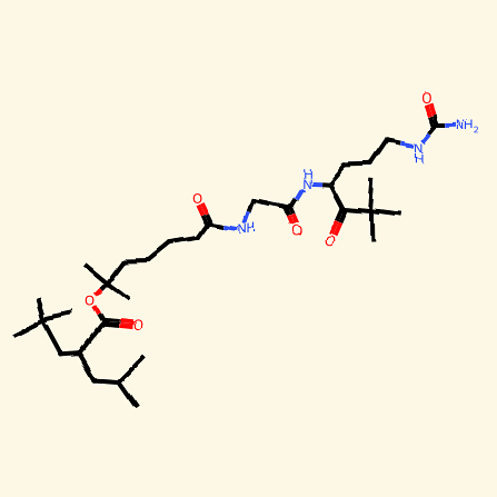 CC(C)CC(CC(C)(C)C)C(=O)OC(C)(C)CCCCC(=O)NCC(=O)NC(CCCNC(N)=O)C(=O)C(C)(C)C